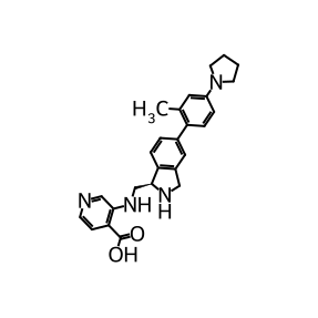 Cc1cc(N2CCCC2)ccc1-c1ccc2c(c1)CN[C@H]2CNc1cnccc1C(=O)O